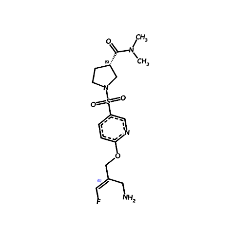 CN(C)C(=O)[C@H]1CCN(S(=O)(=O)c2ccc(OC/C(=C/F)CN)nc2)C1